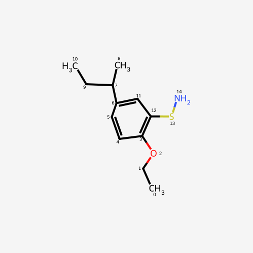 CCOc1ccc(C(C)CC)cc1SN